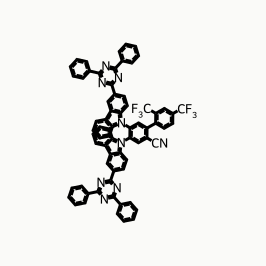 N#Cc1cc(-n2c3ccccc3c3cc(-c4nc(-c5ccccc5)nc(-c5ccccc5)n4)ccc32)c(-n2c3ccccc3c3cc(-c4nc(-c5ccccc5)nc(-c5ccccc5)n4)ccc32)cc1-c1ccc(C(F)(F)F)cc1C(F)(F)F